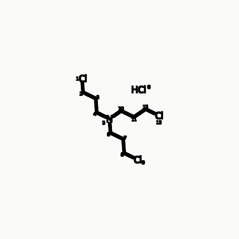 Cl.ClCCCN(CCCCl)CCCCl